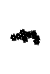 c1ccc(-c2ccc(-c3c4ccccc4c(-c4ccc(-c5cccc6c5sc5c7ccccc7ccc65)cn4)c4ccccc34)cc2)cc1